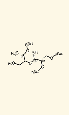 CCCCOC[C@H](OCCCC)[C@H](S)OC(COC(C)=O)[C@H](C)OCCCC